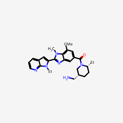 CC[C@@H]1CC[C@H](CN)CN1C(=O)c1cc(OC)c2c(c1)nc(-c1cc3cccnc3n1CC)n2C